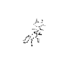 C=CC1(C=C)C(=C)C2([N])NN1C(C=C)(C(=C)C1CCN(C)C(C)(C)C1C)C2=C